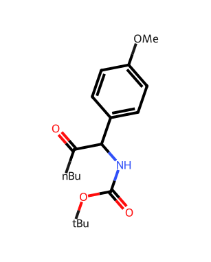 CCCCC(=O)C(NC(=O)OC(C)(C)C)c1ccc(OC)cc1